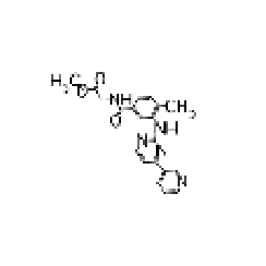 COC(=O)CNC(=O)c1ccc(C)c(Nc2nccc(-c3cccnc3)n2)c1